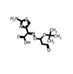 CC(C)(C)OC(CC=O)ON=C(C(=O)O)c1csc(N)n1